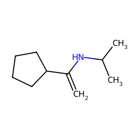 C=C(NC(C)C)C1CCCC1